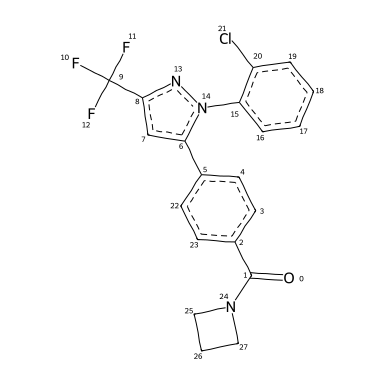 O=C(c1ccc(-c2cc(C(F)(F)F)nn2-c2ccccc2Cl)cc1)N1CCC1